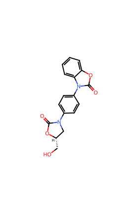 O=C1O[C@@H](CO)CN1c1ccc(-n2c(=O)oc3ccccc32)cc1